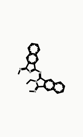 CCN1/C(=N\C)c2cc3ccccc3cc2/C1=N/C1=NC(=N\C)/c2cc3ccccc3cc21